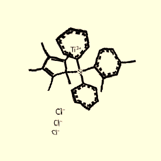 CC1=C(C)C(C)([Si](c2ccccc2)(c2ccccc2)c2ccc(C)cc2C)[C]([Ti+3])=C1C.[Cl-].[Cl-].[Cl-]